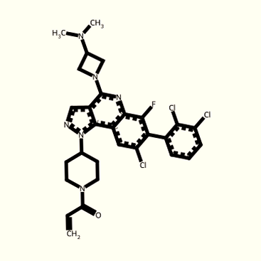 C=CC(=O)N1CCC(n2ncc3c(N4CC(N(C)C)C4)nc4c(F)c(-c5cccc(Cl)c5Cl)c(Cl)cc4c32)CC1